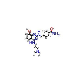 CCN(CC)CCCNc1nc(NCC2CCC(C(N)=O)CC2)nc2c(OC)cccc12